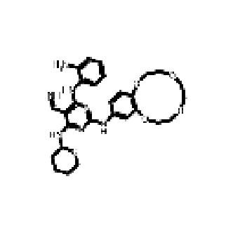 N=Cc1c(Nc2ccccc2N)nc(Nc2ccc3c(c2)OCCOCCOCCO3)nc1NC1CCCCO1